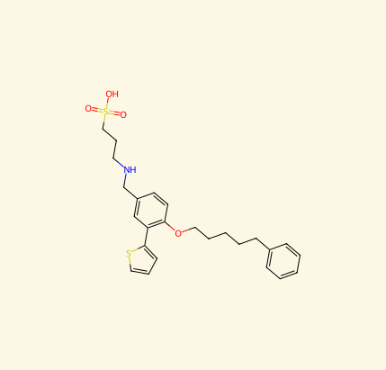 O=S(=O)(O)CCCNCc1ccc(OCCCCCc2ccccc2)c(-c2cccs2)c1